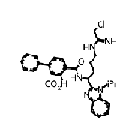 CC(C)n1c(C(CCCNC(=N)CCl)NC(=O)c2ccc(-c3ccccc3)cc2C(=O)O)nc2ccccc21